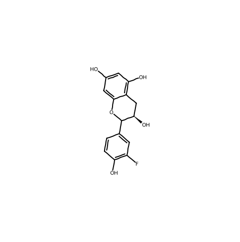 Oc1cc(O)c2c(c1)OC(c1ccc(O)c(F)c1)[C@H](O)C2